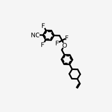 C=CC1CCC(c2ccc(COC(F)(F)Cc3cc(F)c(C#N)c(F)c3)cc2)CC1